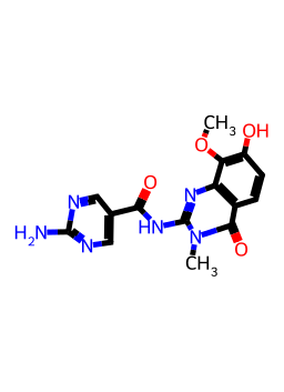 COc1c(O)ccc2c(=O)n(C)c(NC(=O)c3cnc(N)nc3)nc12